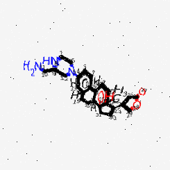 C[C@]12CC[C@H](N3CCNC(CN)C3)C[C@H]1CC[C@@H]1[C@@H]2CC[C@]2(C)[C@@H](C3=CC(=O)OC3)CC[C@]12O